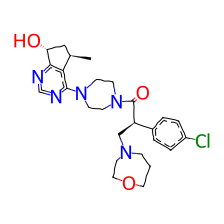 C[C@@H]1C[C@@H](O)c2ncnc(N3CCN(C(=O)[C@H](CN4CCCOCC4)c4ccc(Cl)cc4)CC3)c21